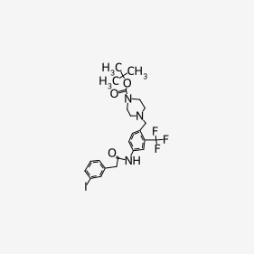 CC(C)(C)OC(=O)N1CCN(Cc2ccc(NC(=O)Cc3cccc(I)c3)cc2C(F)(F)F)CC1